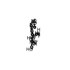 COc1cc(CN2CCN(C3CC4(CCN(c5ccc(C(=O)NS(=O)(=O)c6cnc(NCC7CCC(C)(O)CC7)c([N+](=O)[O-])c6)c(Oc6cnc7[nH]cc(F)c7c6)c5)CC4)C3)[C@H](c3ccccc3C(C)C)C2)cnc1OC